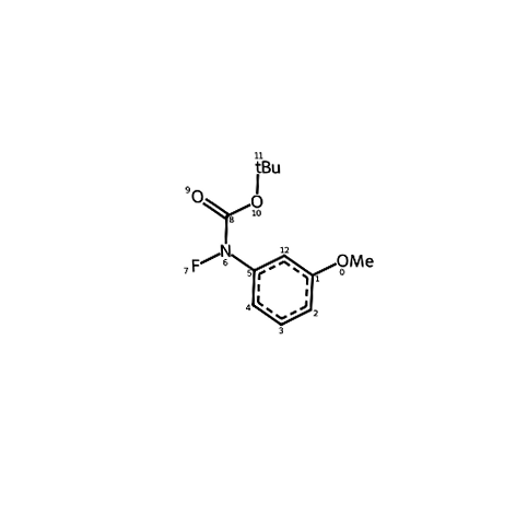 COc1cccc(N(F)C(=O)OC(C)(C)C)c1